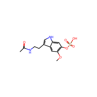 COc1cc2c(CCNC(C)=O)c[nH]c2cc1OS(=O)(=O)O